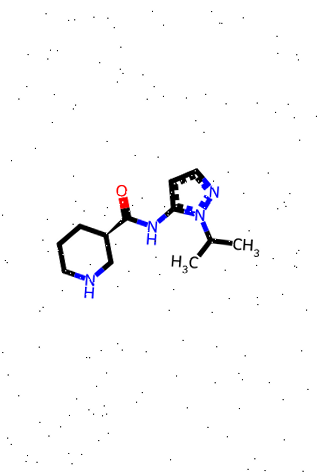 CC(C)n1nccc1NC(=O)[C@@H]1CCCNC1